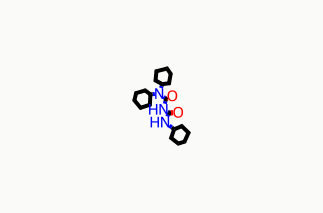 O=C(NC(=O)N(C1CCCCC1)C1CCCCC1)NC1CCCCC1